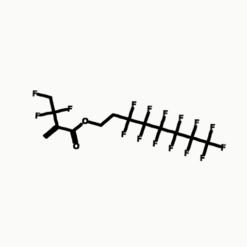 C=C(C(=O)OCCC(F)(F)C(F)(F)C(F)(F)C(F)(F)C(F)(F)C(F)(F)F)C(F)(F)CF